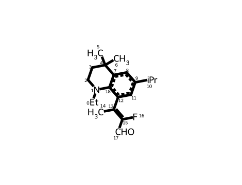 CCN1CCC(C)(C)c2cc(C(C)C)cc(C(C)=C(F)C=O)c21